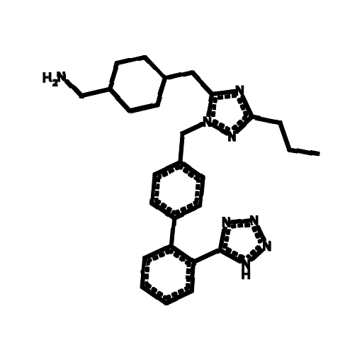 CCCc1nc(CC2CCC(CN)CC2)n(Cc2ccc(-c3ccccc3-c3nnn[nH]3)cc2)n1